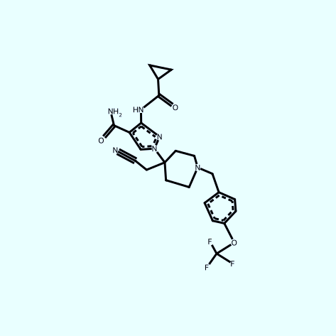 N#CCC1(n2cc(C(N)=O)c(NC(=O)C3CC3)n2)CCN(Cc2ccc(OC(F)(F)F)cc2)CC1